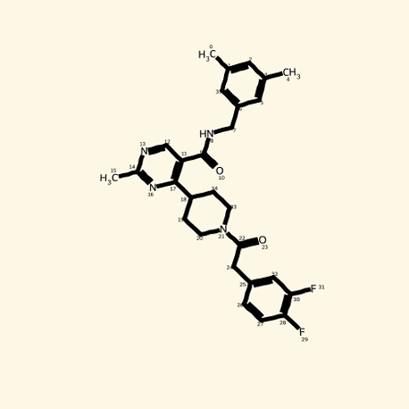 Cc1cc(C)cc(CNC(=O)c2cnc(C)nc2C2CCN(C(=O)Cc3ccc(F)c(F)c3)CC2)c1